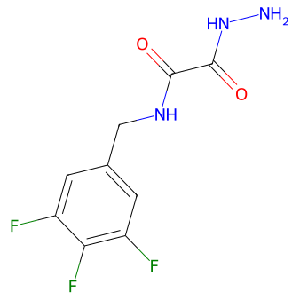 NNC(=O)C(=O)NCc1cc(F)c(F)c(F)c1